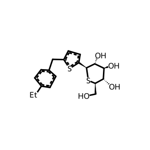 CCc1ccc(Cc2ccc([C@@H]3S[C@H](CO)[C@@H](O)[C@H](O)[C@H]3O)s2)cc1